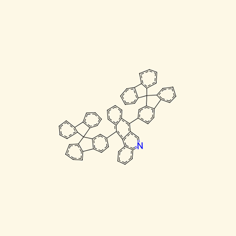 c1ccc2c(c1)-c1ccccc1C21c2ccccc2-c2ccc(-c3c4ccccc4c(-c4ccc5c(c4)C4(c6ccccc6-c6ccccc64)c4ccccc4-5)c4c3cnc3ccccc34)cc21